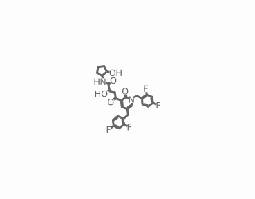 O=C(NC1CCCC1O)/C(O)=C/C(=O)c1cc(Cc2ccc(F)cc2F)cn(Cc2ccc(F)cc2F)c1=O